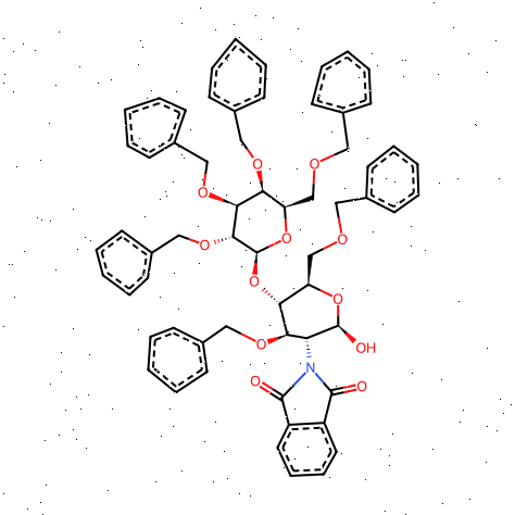 O=C1c2ccccc2C(=O)N1[C@@H]1[C@@H](OCc2ccccc2)[C@H](O[C@@H]2O[C@H](COCc3ccccc3)[C@H](OCc3ccccc3)[C@H](OCc3ccccc3)[C@H]2OCc2ccccc2)[C@@H](COCc2ccccc2)O[C@H]1O